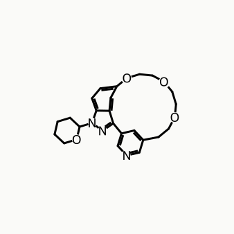 c1ncc2cc1CCOCCOCCOc1ccc3c(c1)c-2nn3C1CCCCO1